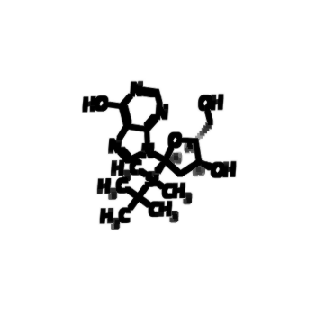 CC(C)(C)[Si](C)(C)[C@]1(n2cnc3c(O)ncnc32)C[C@H](O)[C@@H](CO)O1